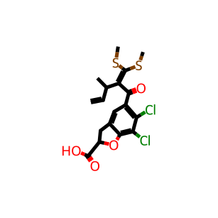 C=CC(C)C(C(=O)c1cc2c(c(Cl)c1Cl)OC(C(=O)O)C2)=C(SC)SC